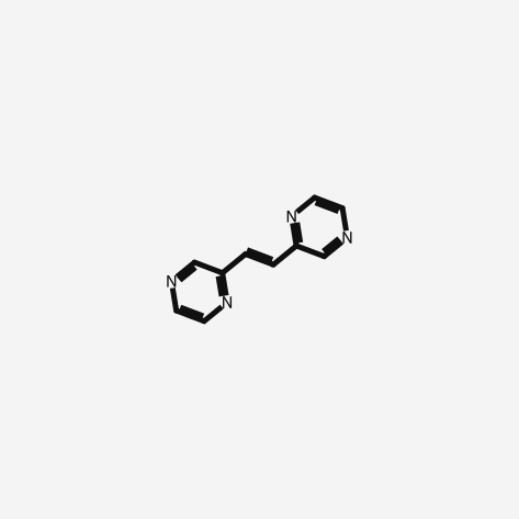 C(=C\c1cnccn1)/c1cnccn1